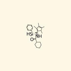 CC1=C(C)C(C)[C]([Ti]([NH]C(=O)C2CCCCC2)[SiH](C)c2ccccc2)=C1C